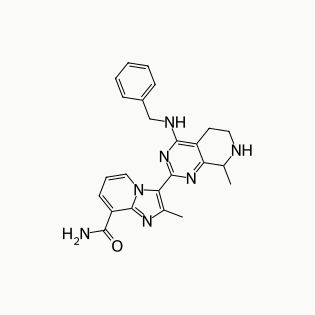 Cc1nc2c(C(N)=O)cccn2c1-c1nc(NCc2ccccc2)c2c(n1)C(C)NCC2